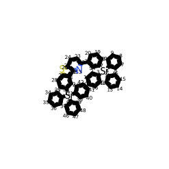 c1ccc([Si](c2ccccc2)(c2ccccc2)c2cccc(-c3ccc4sc5ccc([Si](c6ccccc6)(c6ccccc6)c6ccccc6)cc5c4n3)c2)cc1